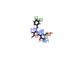 CC/C(C)=C(/NCc1ccc(Cl)c(Cl)c1)NC(=O)/C(NCCOC)=C(\C)C(=N)Cl